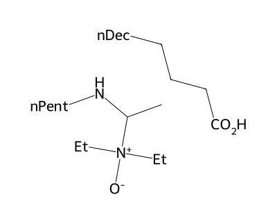 CCCCCCCCCCCCCC(=O)O.CCCCCNC(C)[N+]([O-])(CC)CC